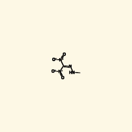 CNN=C([N+](=O)[O-])[N+](=O)[O-]